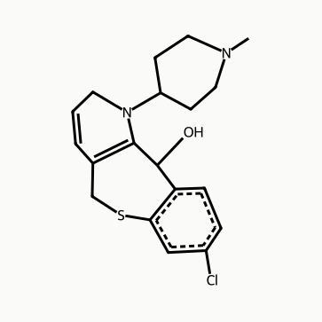 CN1CCC(N2CC=CC3=C2C(O)c2ccc(Cl)cc2SC3)CC1